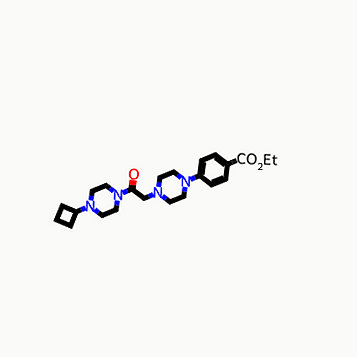 CCOC(=O)c1ccc(N2CCN(CC(=O)N3CCN(C4CCC4)CC3)CC2)cc1